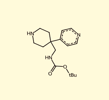 CC(C)(C)OC(=O)NCC1(c2ccncc2)CCNCC1